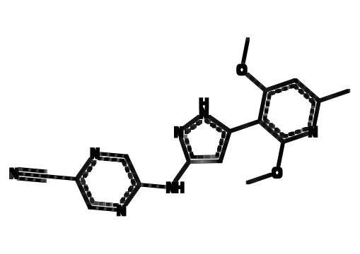 COc1cc(C)nc(OC)c1-c1cc(Nc2cnc(C#N)cn2)n[nH]1